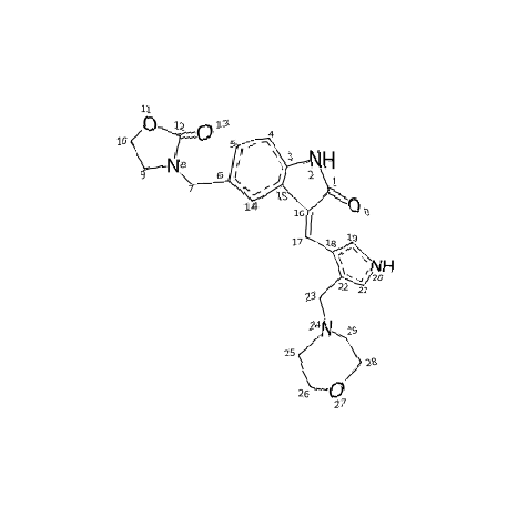 O=C1Nc2ccc(CN3CCOC3=O)cc2C1=Cc1c[nH]cc1CN1CCOCC1